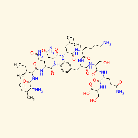 CC[C@H](C)[C@H](N)C(=O)N[C@H](C(=O)N[C@@H](CCC(N)=O)C(=O)N[C@@H](CC(N)=O)C(=O)N[C@@H](CC(C)C)C(=O)N[C@@H](CCCCN)C(=O)N[C@@H](Cc1ccccc1)C(=O)N[C@@H](CO)C(=O)N[C@@H](CCC(N)=O)C(=O)N[C@@H](CO)C(=O)O)[C@@H](C)CC